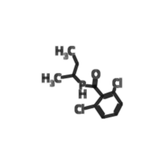 CCC(C)PC(=O)c1c(Cl)cccc1Cl